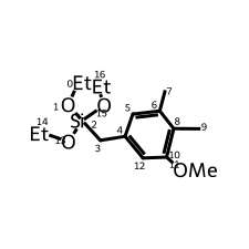 CCO[Si](Cc1cc(C)c(C)c(OC)c1)(OCC)OCC